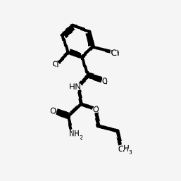 CCCOC(NC(=O)c1c(Cl)cccc1Cl)C(N)=O